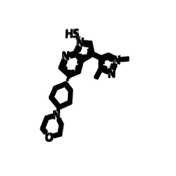 Cc1nn(C)cc1-c1cn(S)c2ncc([C@H]3CC[C@H](N4CCOCC4)CC3)cc12